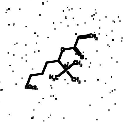 C=CC(=O)OC(CCCCCCCCCCC)[PH](C)(C)C